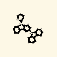 c1ccc(-n2c3ccccc3c3cc(-n4c5ccccc5c5ccccc54)ccc32)nc1